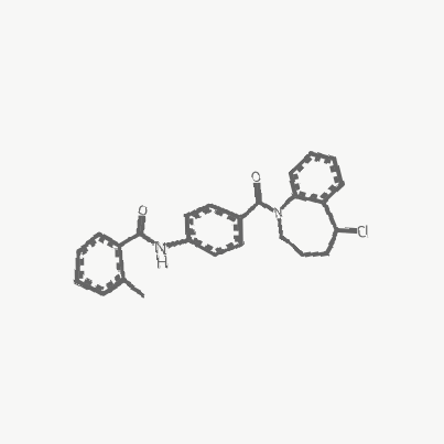 Cc1ccccc1C(=O)Nc1ccc(C(=O)N2CCCC(Cl)c3ccccc32)cc1